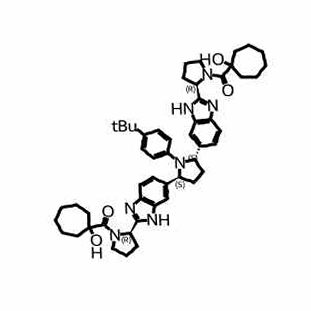 CC(C)(C)c1ccc(N2[C@H](c3ccc4nc([C@H]5CCCN5C(=O)C5(O)CCCCCC5)[nH]c4c3)CC[C@H]2c2ccc3nc([C@H]4CCCN4C(=O)C4(O)CCCCCC4)[nH]c3c2)cc1